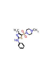 Cc1nc(Nc2ccccc2)sc1S(=O)(=O)N1CCN(C)CC1